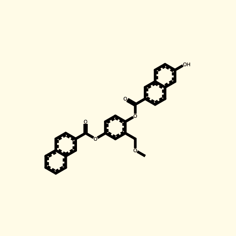 COCc1cc(OC(=O)c2ccc3ccccc3c2)ccc1OC(=O)c1ccc2cc(O)ccc2c1